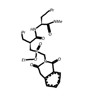 CCOP(=O)(C[C@@H](CC(C)C)C(=O)N[C@@H](CC(C)C)C(=O)NC)CN1C(=O)Cc2ccccc2C1=O